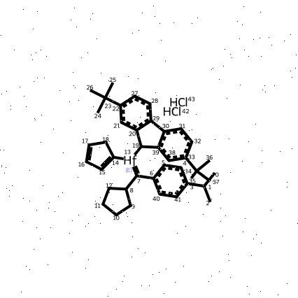 CC(C)c1ccc(/[C](C2CCCC2)=[Hf](/[C]2=CC=CC2)[CH]2c3cc(C(C)(C)C)ccc3-c3ccc(C(C)(C)C)cc32)cc1.Cl.Cl